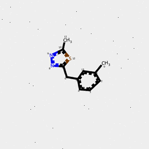 Cc1cccc(Cc2nnc(C)s2)c1